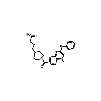 O=C(O)CCCN1CCN(C(=O)c2ccc3c(Cl)cc(Nc4ccccc4)nc3c2)CC1